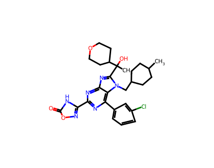 CC1CCC(Cn2c(C(C)(O)C3CCOCC3)nc3nc(-c4noc(=O)[nH]4)nc(-c4cccc(Cl)c4)c32)CC1